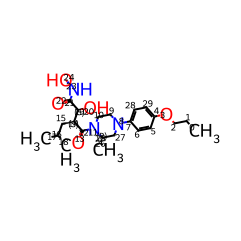 CCCOc1ccc(N2CCN(C(=O)[C@@H](CC(C)C)[C@H](O)C(=O)NO)[C@H](C)C2)cc1